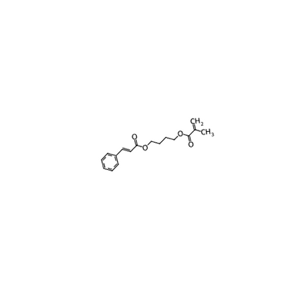 C=C(C)C(=O)OCCCCOC(=O)C=Cc1ccccc1